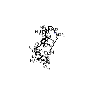 Cc1sc2c(c1C)C(c1ccc(Cl)cc1)=N[C@@H](CC(=O)NCCCCCCCCN(C)C/C=C/C(=O)N1CCC[C@@H](n3nc(C(=O)Nc4ccc(CC(=O)N(C)C)c(C)c4C)c4c(N)ncnc43)C1)c1nnc(C)n1-2